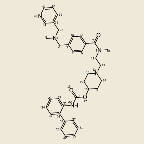 CN(Cc1ccc(C(=O)N(C)CCN2CCC(OC(=O)Nc3ccccc3-c3ccccc3)CC2)cc1)Cc1cccnc1